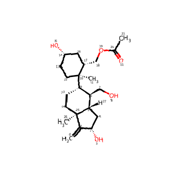 C=C1[C@@H](O)C[C@H]2[C@H](CO)[C@@H]([C@@]3(C)CC[C@H](O)C[C@@H]3COC(C)=O)CC[C@]12C